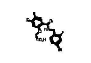 Cc1cc(C(=O)NCc2ccc(Br)cc2F)c(OCC(=O)O)cc1F